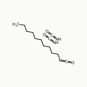 CCCCCCCCCCN=C=O.N=C=O.N=C=O